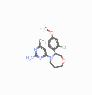 COc1ccc([C@H]2COCCCN2c2cc(C)nc(N)n2)c(Cl)c1